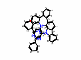 c1ccc(-c2nc(-c3ccccc3)nc(-n3c4ccccc4c4ccc5c(c43)N(c3ccccc3)c3ccccc3-c3ccccc3-5)n2)cc1